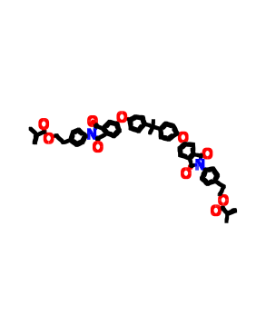 C=C(C)C(=O)OCCc1ccc(N2C(=O)c3ccc(Oc4ccc(C(C)(C)c5ccc(Oc6ccc7c(c6)C(=O)N(c6ccc(CCOC(=O)C(=C)C)cc6)C7=O)cc5)cc4)cc3C2=O)cc1